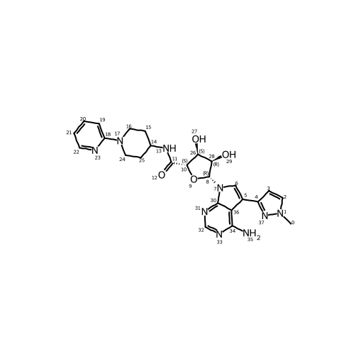 Cn1ccc(-c2cn([C@@H]3O[C@H](C(=O)NC4CCN(c5ccccn5)CC4)[C@@H](O)[C@H]3O)c3ncnc(N)c23)n1